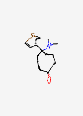 CN(C)C1(c2ccsc2)CCC(=O)CC1